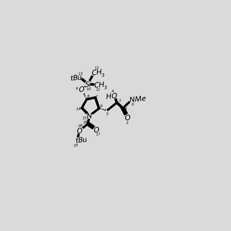 CNC(=O)C(O)C[C@H]1C[C@@H](O[Si](C)(C)C(C)(C)C)CN1C(=O)OC(C)(C)C